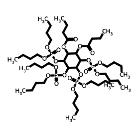 CCCCOP(=O)(OCCCC)OC1C(OC(=O)CCC)C(OC(=O)CCC)C(OP(=O)(OCCCC)OCCCC)C(OP(=O)(OCCCC)OCCCC)C1OP(=O)(OCCCC)OCCCC